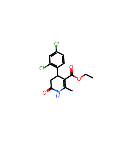 CCOC(=O)C1=C(C)NC(=O)CC1c1ccc(Cl)cc1Cl